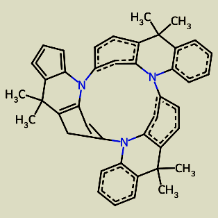 CC1(C)C2=C=CC=C2N2C3=C1CC(=C3)N1c3ccccc3C(C)(C)c3ccc(cc31)N1c3ccccc3C(C)(C)c3ccc2cc31